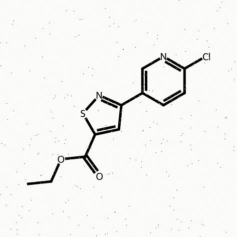 CCOC(=O)c1cc(-c2ccc(Cl)nc2)ns1